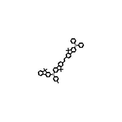 Cc1ccc(N(c2ccc3c(c2)C(C)(C)c2ccccc2-3)c2ccc3c(c2)C(C)(C)c2cc(/C=C/c4ccc5c(c4)C(C)(C)c4cc(N(c6ccccc6)c6ccccc6)ccc4-5)ccc2-3)cc1